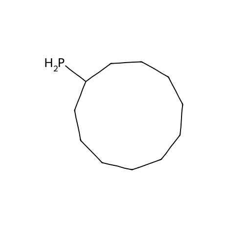 PC1CCCCCCCCCC1